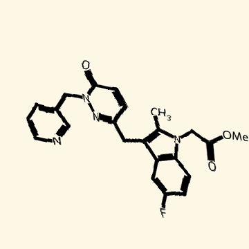 COC(=O)Cn1c(C)c(Cc2ccc(=O)n(Cc3cccnc3)n2)c2cc(F)ccc21